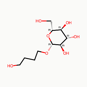 OCCCCO[C@@H]1O[C@H](CO)[C@@H](O)[C@H](O)[C@H]1O